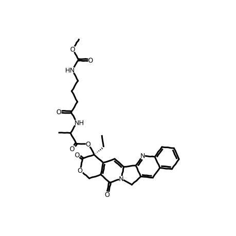 CC[C@@]1(OC(=O)C(C)NC(=O)CCCNC(=O)OC)C(=O)OCc2c1cc1n(c2=O)Cc2cc3ccccc3nc2-1